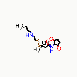 CCCCNCCSSC(C)(C)CC(=O)NC1C(=O)C=CC1=O